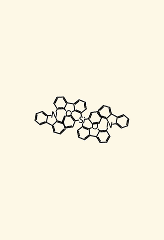 c1ccc([Si](c2ccccc2)(c2cccc3c2oc2c(-n4c5ccccc5c5ccccc54)cccc23)c2cccc3c2oc2c(-n4c5ccccc5c5ccccc54)cccc23)cc1